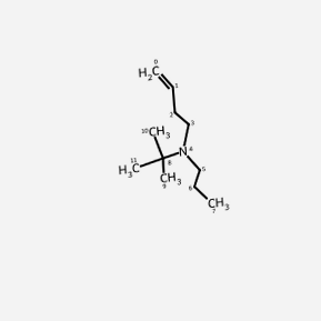 C=CCCN(CCC)C(C)(C)C